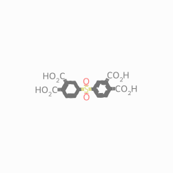 O=C(O)C1=C(C(=O)O)CC(S(=O)(=O)c2ccc(C(=O)O)c(C(=O)O)c2)C=C1